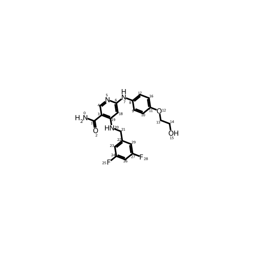 NC(=O)c1cnc(Nc2ccc(OCCO)cc2)cc1NCc1cc(F)cc(F)c1